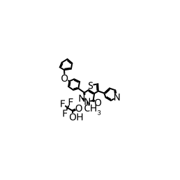 Cn1nc(-c2ccc(Oc3ccccc3)cc2)c2scc(-c3ccncc3)c2c1=O.O=C(O)C(F)(F)F